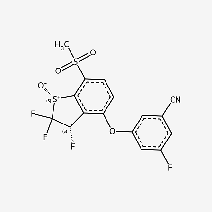 CS(=O)(=O)c1ccc(Oc2cc(F)cc(C#N)c2)c2c1[S@@+]([O-])C(F)(F)[C@H]2F